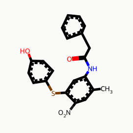 Cc1cc([N+](=O)[O-])c(Sc2ccc(O)cc2)cc1NC(=O)Cc1ccccc1